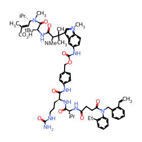 C=Cc1ccccc1CN(C(=O)CCC(=O)N[C@H](C(=O)N[C@@H](CCCNC(N)=O)C(=O)Nc1ccc(COC(=O)Nc2ccc3c(c2)c(C(C)(C)C(NC)C(=O)N[C@H](C(=O)N(C)[C@H](/C=C(\C)C(=O)O)C(C)C)C(C)(C)C)cn3C)cc1)C(C)C)c1ccccc1CC